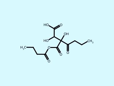 CCCC(=O)OC(=O)C(O)(C(=O)CCC)C(O)C(=O)O